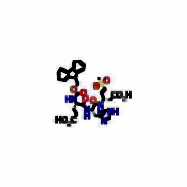 CS(=O)(=O)/C=C/[C@H](CC(=O)O)NC(=O)[C@H](Cc1c[nH]cn1)NC(=O)[C@H](CCC(=O)O)NC(=O)OCC1c2ccccc2-c2ccccc21